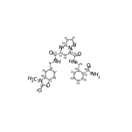 Cn1c(=O)oc2ccc(CNC(=O)c3cc(C(=O)NCc4ccccc4C(N)=O)n4nccc4n3)cc21